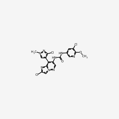 COc1ncc(NC(=O)Nc2cnn3cc(Cl)nc3c2-c2cn(C)nc2Cl)cc1Cl